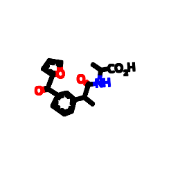 CC(NC(=O)C(C)c1cccc(C(=O)c2ccco2)c1)C(=O)O